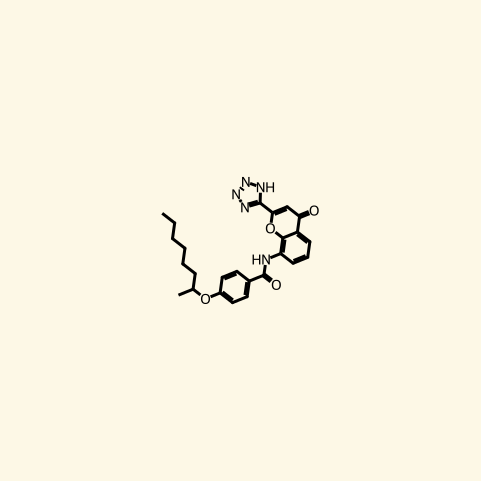 CCCCCCC(C)Oc1ccc(C(=O)Nc2cccc3c(=O)cc(-c4nnn[nH]4)oc23)cc1